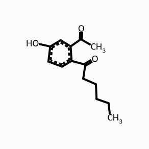 CCCCCC(=O)c1ccc(O)cc1C(C)=O